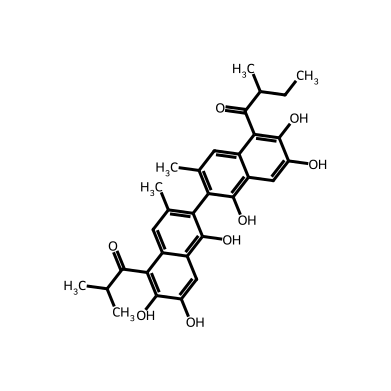 CCC(C)C(=O)c1c(O)c(O)cc2c(O)c(-c3c(C)cc4c(C(=O)C(C)C)c(O)c(O)cc4c3O)c(C)cc12